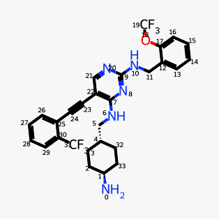 N[C@H]1CC[C@H](CNc2nc(NCc3ccccc3OC(F)(F)F)ncc2C#Cc2ccccc2C(F)(F)F)CC1